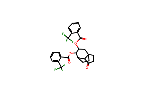 O=C(OC1CC23CCC(=O)C2C(CC3)C1OC(=O)c1ccccc1C(F)(F)F)c1ccccc1C(F)(F)F